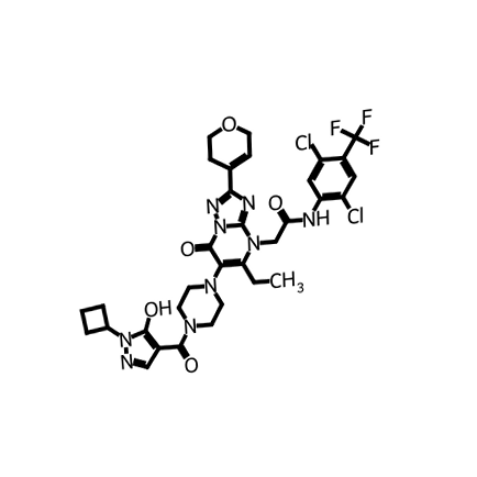 CCc1c(N2CCN(C(=O)c3cnn(C4CCC4)c3O)CC2)c(=O)n2nc(C3=CCOCC3)nc2n1CC(=O)Nc1cc(Cl)c(C(F)(F)F)cc1Cl